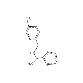 Cc1ccc(CNC(C)c2ncccn2)nc1